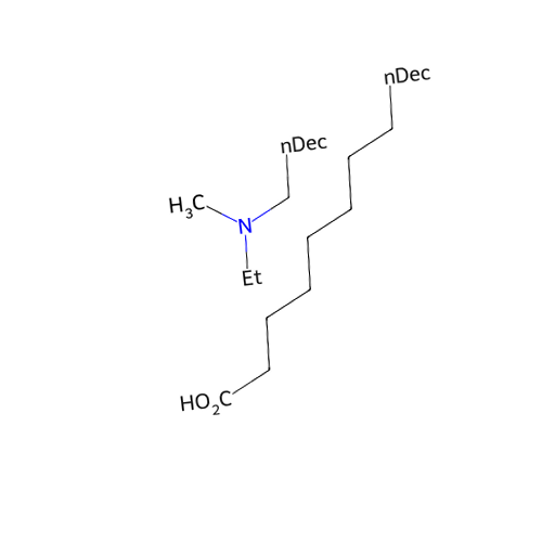 CCCCCCCCCCCCCCCCCC(=O)O.CCCCCCCCCCCN(C)CC